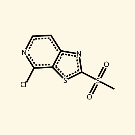 CS(=O)(=O)c1nc2ccnc(Cl)c2s1